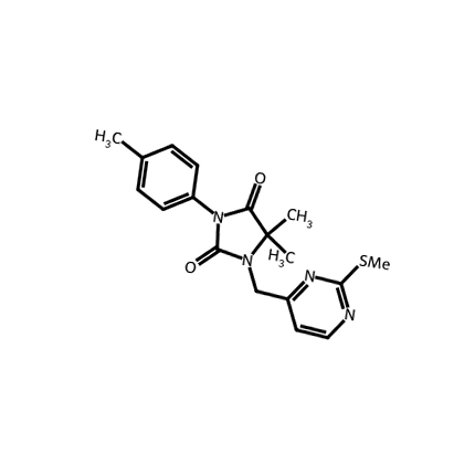 CSc1nccc(CN2C(=O)N(c3ccc(C)cc3)C(=O)C2(C)C)n1